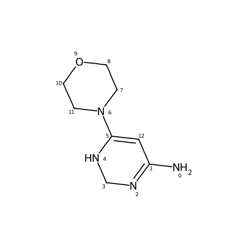 NC1=NCNC(N2CCOCC2)=C1